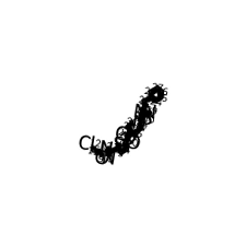 O=S(=O)(c1ccc(-c2noc(CCl)n2)s1)N1CCN(c2nc(Cc3ccccc3)ns2)CC1